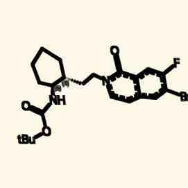 CC(C)(C)OC(=O)N[C@H]1CCCC[C@@H]1CCn1ccc2cc(Br)c(F)cc2c1=O